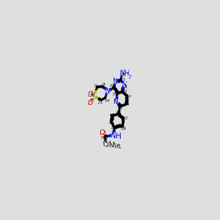 COC(=O)Nc1ccc(-c2ccc3nc(N)nc(N4CCS(=O)(=O)CC4)c3n2)cc1